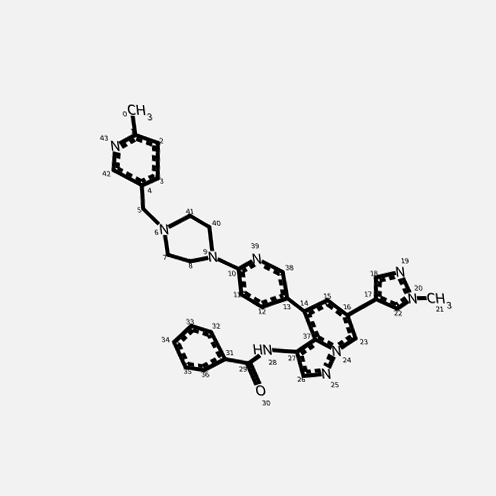 Cc1ccc(CN2CCN(c3ccc(-c4cc(-c5cnn(C)c5)cn5ncc(NC(=O)c6ccccc6)c45)cn3)CC2)cn1